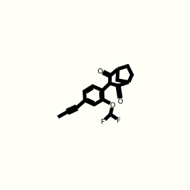 CC#Cc1ccc(C2C(=O)C3CCC(C3)C2=O)c(OC(F)F)c1